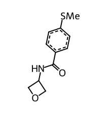 CSc1ccc(C(=O)NC2COC2)cc1